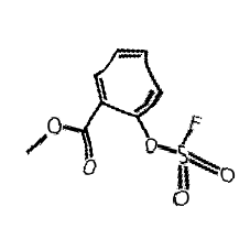 COC(=O)c1ccccc1OS(=O)(=O)F